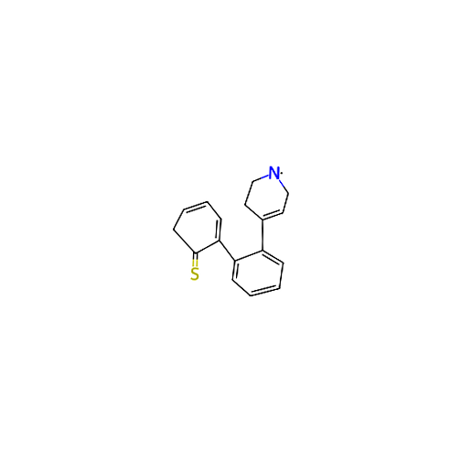 S=C1CC=CC=C1c1ccccc1C1=CC[N]CC1